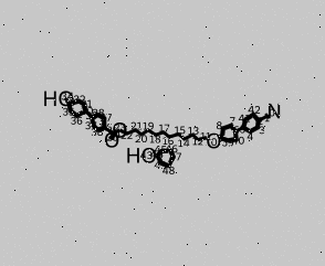 N#Cc1ccc(-c2ccc(OCCCCCCCCCCCCOC(=O)c3ccc(-c4ccc(O)cc4)cc3)cc2)cc1.Oc1ccccc1